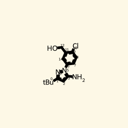 CC(C)(C)c1cc(N)n(-c2ccc(Cl)c(CO)c2)n1